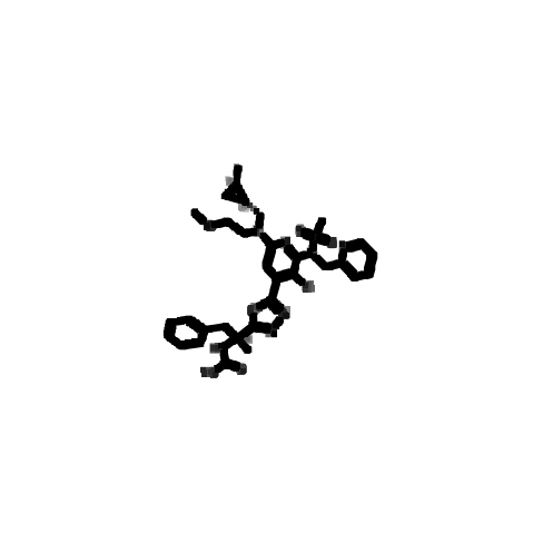 COCCN(C[C@@H]1C[C@H]1C)c1cc(-c2nnc([C@@](C)(Cc3ccccc3)NC(=O)O)o2)c(Cl)c(N(Cc2ccccn2)S(C)(=O)=O)n1